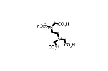 CCCCCCCCN(CCN(CC(=O)O)CC(=O)O)CC(=O)O